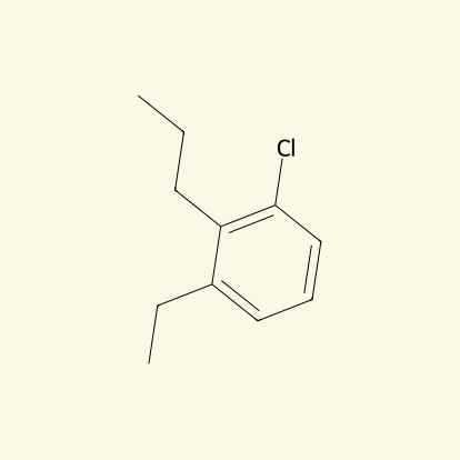 CCCc1c(Cl)cccc1CC